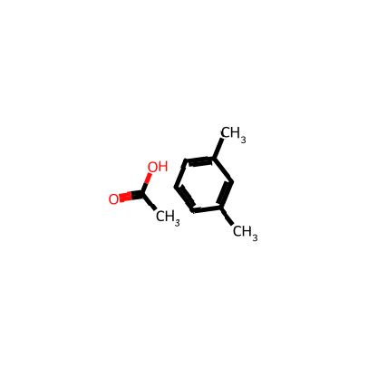 CC(=O)O.Cc1cccc(C)c1